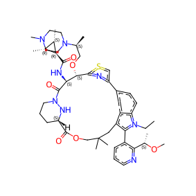 CCn1c(-c2cccnc2[C@H](C)OC)c2c3cc(ccc31)-c1csc(n1)[C@@H](OC[C@H](C)N1CCN(C)CC1)[C@H](NC(=O)[C@H]1[C@H](C)[C@@H]1C)C(=O)N1CCC[C@H](N1)C(=O)OCC(C)(C)C2